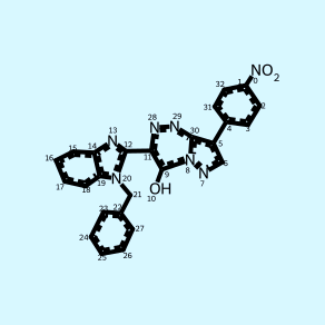 O=[N+]([O-])c1ccc(-c2cnn3c(O)c(-c4nc5ccccc5n4Cc4ccccc4)nnc23)cc1